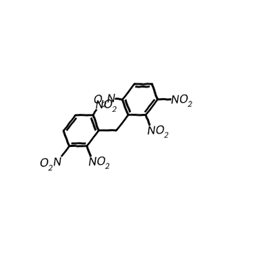 O=[N+]([O-])c1ccc([N+](=O)[O-])c([N+](=O)[O-])c1Cc1c([N+](=O)[O-])ccc([N+](=O)[O-])c1[N+](=O)[O-]